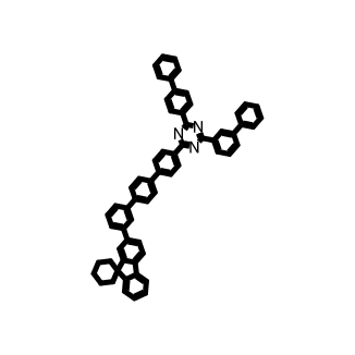 c1ccc(-c2ccc(-c3nc(-c4ccc(-c5ccc(-c6cccc(-c7ccc8c(c7)C7(CCCCC7)c7ccccc7-8)c6)cc5)cc4)nc(-c4cccc(-c5ccccc5)c4)n3)cc2)cc1